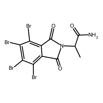 CC(C(N)=O)N1C(=O)c2c(Br)c(Br)c(Br)c(Br)c2C1=O